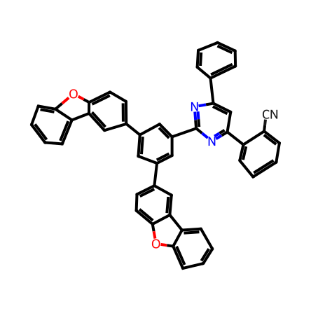 N#Cc1ccccc1-c1cc(-c2ccccc2)nc(-c2cc(-c3ccc4oc5ccccc5c4c3)cc(-c3ccc4oc5ccccc5c4c3)c2)n1